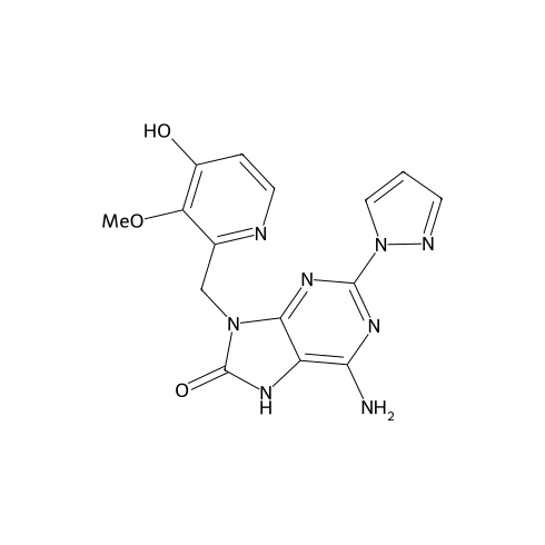 COc1c(O)ccnc1Cn1c(=O)[nH]c2c(N)nc(-n3cccn3)nc21